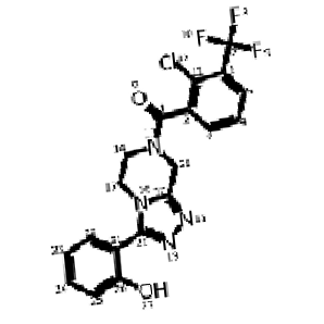 O=C(c1cccc(C(F)(F)F)c1Cl)N1CCn2c(nnc2-c2ccccc2O)C1